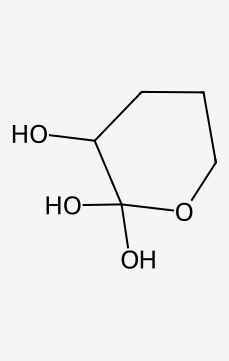 OC1CCCOC1(O)O